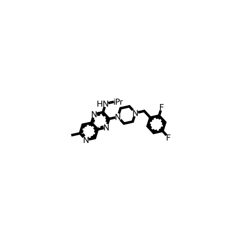 Cc1cc2nc(NC(C)C)c(N3CCN(Cc4ccc(F)cc4F)CC3)nc2cn1